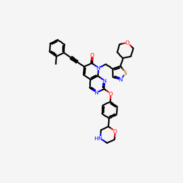 Cc1ccccc1C#Cc1cc2cnc(Oc3ccc(C4CNCCO4)cc3)nc2n(Cc2cnsc2C2CCOCC2)c1=O